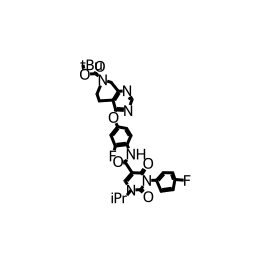 CC(C)n1cc(C(=O)Nc2ccc(Oc3ncnc4c3CCN(C(=O)OC(C)(C)C)C4)cc2F)c(=O)n(-c2ccc(F)cc2)c1=O